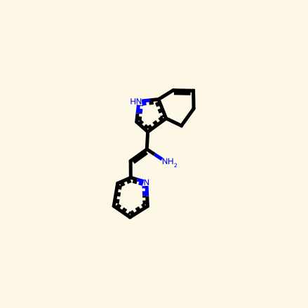 N/C(=C\c1ccccn1)c1c[nH]c2c1CCC=C2